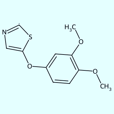 COc1ccc(Oc2cn[c]s2)cc1OC